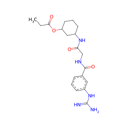 CCC(=O)OC1CCCC(NC(=O)CNC(=O)c2cccc(NC(=N)N)c2)C1